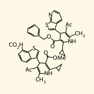 CC(=O)C1=C(C)NC(C2CC2)=C(C(=O)OCc2ccccc2)C1c1csc2ncccc12.COC(=O)C1=C(C2CC2)NC(C)=C(C(C)=O)C1c1csc2c(C(=O)O)cccc12